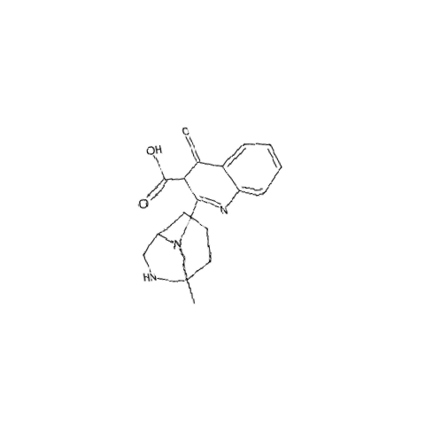 CC12CCCC(CN1)N(C1=Nc3ccccc3C(=O)C1C(=O)O)C2